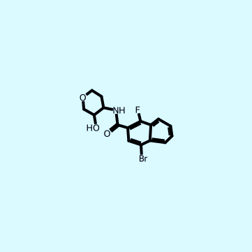 O=C(NC1CCOCC1O)c1cc(Br)c2ccccc2c1F